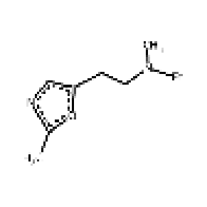 CCN(C)CCc1cnc(C)o1